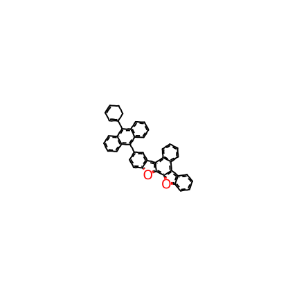 C1=CCCC(c2c3ccccc3c(-c3ccc4oc5c6oc7ccccc7c6c6ccccc6c5c4c3)c3ccccc23)=C1